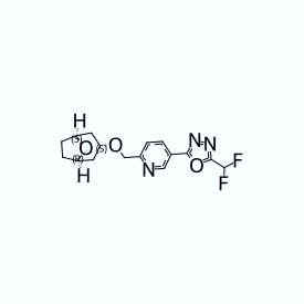 FC(F)c1nnc(-c2ccc(CO[C@@H]3C[C@H]4CC[C@@H](C3)O4)nc2)o1